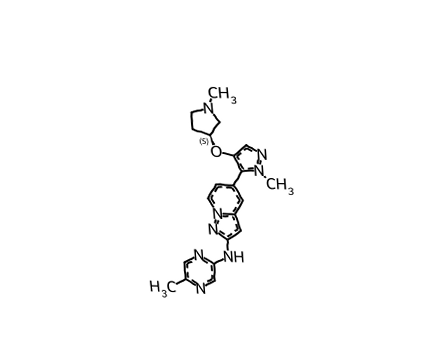 Cc1cnc(Nc2cc3cc(-c4c(O[C@H]5CCN(C)C5)cnn4C)ccn3n2)cn1